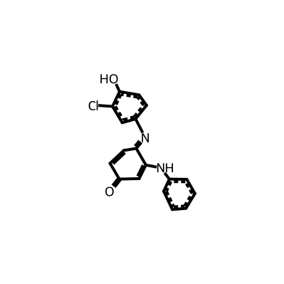 O=C1C=CC(=Nc2ccc(O)c(Cl)c2)C(Nc2ccccc2)=C1